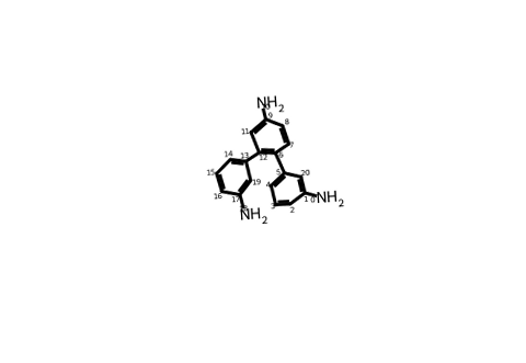 Nc1cccc(-c2ccc(N)cc2-c2cccc(N)c2)c1